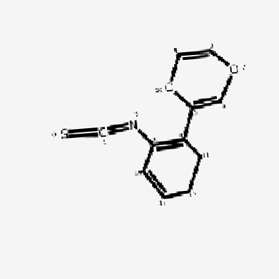 S=C=NC1=C(C2=COC=CO2)CCC=C1